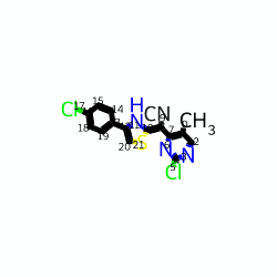 Cc1cnc(Cl)nc1/C(C#N)=C1/NC(c2ccc(Cl)cc2)=CS1